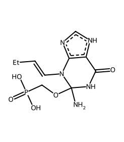 CCC=CN1c2nc[nH]c2C(=O)NC1(N)OCP(=O)(O)O